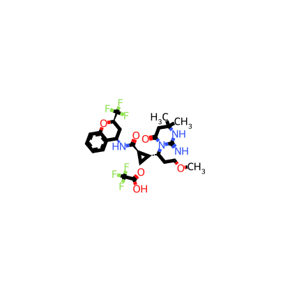 COCCC([C@@H]1C[C@H]1C(=O)N[C@@H]1C[C@H](C(F)(F)F)Oc2ccccc21)N1C(=N)NC(C)(C)CC1=O.O=C(O)C(F)(F)F